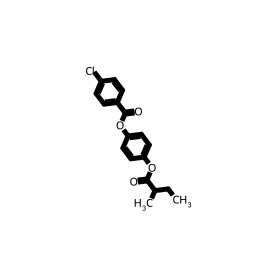 CCC(C)C(=O)Oc1ccc(OC(=O)c2ccc(Cl)cc2)cc1